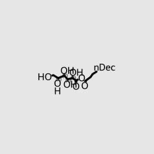 CCCCCCCCCCCCCC(=O)OC(=O)[C@H](O)[C@@H](O)[C@H](O)[C@H](O)CO